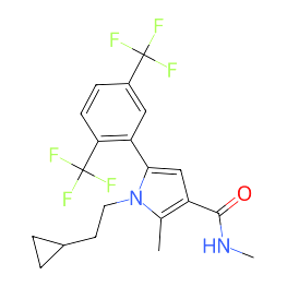 CNC(=O)c1cc(-c2cc(C(F)(F)F)ccc2C(F)(F)F)n(CCC2CC2)c1C